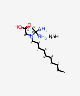 CCCCCCCCCCN(CC(=O)O)C(C)(N)N.[NaH]